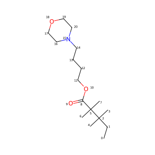 CCC(C)(C)C(C)(C)C(=O)OCCCCN1CCOCC1